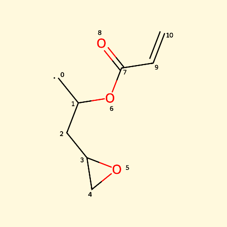 [CH2]C(CC1CO1)OC(=O)C=C